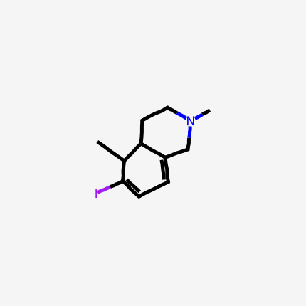 CC1C(I)=CC=C2CN(C)CCC21